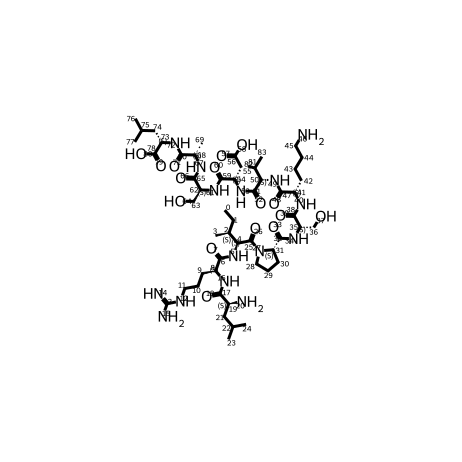 CC[C@H](C)[C@H](NC(=O)[C@H](CCCNC(=N)N)NC(=O)[C@@H](N)CC(C)C)C(=O)N1CCC[C@H]1C(=O)N[C@@H](CO)C(=O)N[C@@H](CCCCN)C(=O)N[C@H](C(=O)N[C@@H](CC(=O)O)C(=O)N[C@@H](CO)C(=O)N[C@@H](C)C(=O)N[C@@H](CC(C)C)C(=O)O)C(C)C